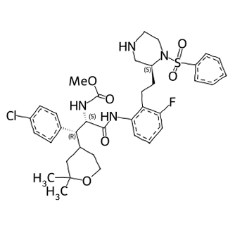 COC(=O)N[C@H](C(=O)Nc1cccc(F)c1CC[C@H]1CNCCN1S(=O)(=O)c1ccccc1)[C@@H](c1ccc(Cl)cc1)C1CCOC(C)(C)C1